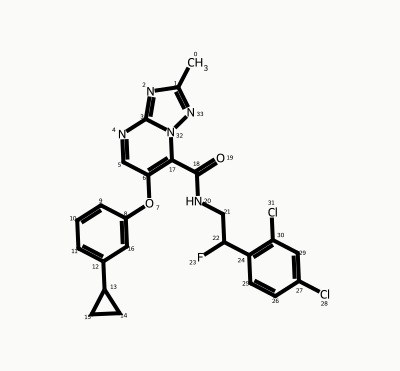 Cc1nc2ncc(Oc3cccc(C4CC4)c3)c(C(=O)NCC(F)c3ccc(Cl)cc3Cl)n2n1